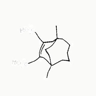 CC12CCC(C)(C1)C(C(=O)O)=C2C(=O)O